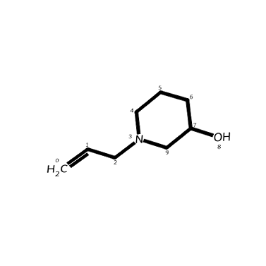 C=CCN1CCCC(O)C1